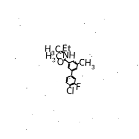 CCC(C)(C)NC(=O)c1cc(C)cc(-c2ccc(Cl)c(F)c2)c1